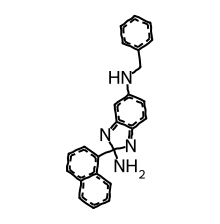 NC1(c2cccc3ccccc23)N=c2ccc(NCc3ccccc3)cc2=N1